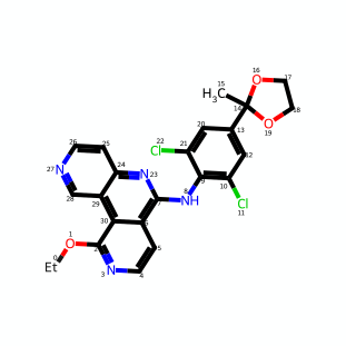 CCOc1nccc2c(Nc3c(Cl)cc(C4(C)OCCO4)cc3Cl)nc3ccncc3c12